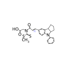 CSC(=S)N(CC(=O)O)C(=O)/C=C/c1ccc2c(c1)C1CCCC1N2c1ccccc1